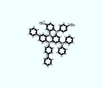 CC(C)(C)c1ccc(N2c3ccc(C(C)(C)C)cc3B3c4cc(-c5ccccc5)ccc4N(c4ccc(-c5ccccc5)cc4)c4cc(N(c5ccccc5)c5ccccc5)cc2c43)cc1